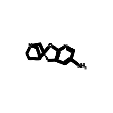 Nc1cnc2c(c1)C[C@]1(CN3CCC1CC3)O2